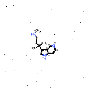 CNCCC(C)(C)c1c[nH]c2ccncc12